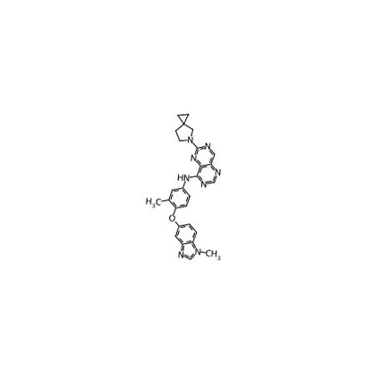 Cc1cc(Nc2ncnc3cnc(N4CCC5(CC5)C4)nc23)ccc1Oc1ccc2c(c1)ncn2C